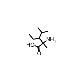 CCC(C(C)C)C(C)(N)C(=O)O